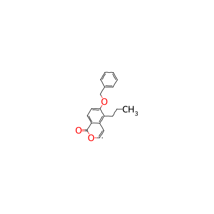 CCCc1c(OCc2ccccc2)ccc2c(=O)o[c]cc12